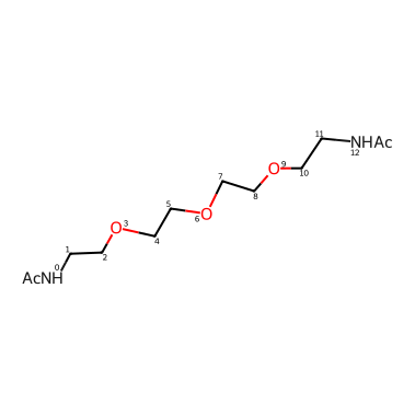 CC(=O)NCCOCCOCCOCCNC(C)=O